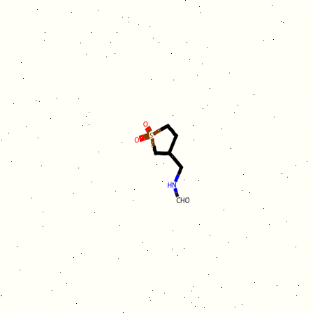 O=CNCC1CCS(=O)(=O)C1